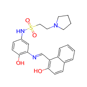 O=S(=O)(CCN1CCCC1)Nc1ccc(O)c(N=Cc2c(O)ccc3ccccc23)c1